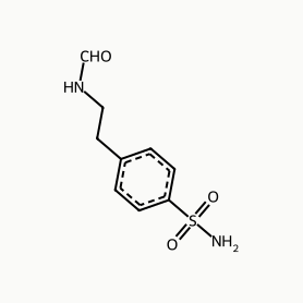 NS(=O)(=O)c1ccc(CCNC=O)cc1